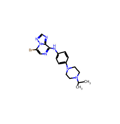 CC(C)N1CCN(c2ccc(Nc3ncc(Br)n4ncnc34)cc2)CC1